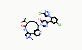 CC(C)[C@H]1CCC[C@H](n2cnc(-c3cc(Cl)ccc3-n3cc(Cl)nn3)cc2=O)c2cc(ccn2)-c2c(cnn2C)NC1=O